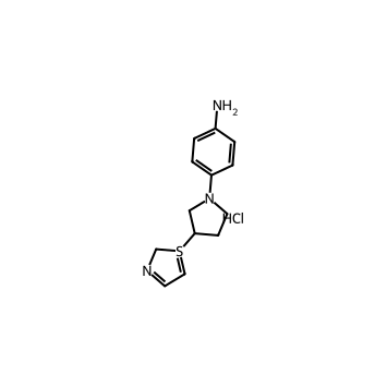 Cl.Nc1ccc(N2CCC(S3=CC=NC3)C2)cc1